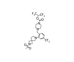 CS(=O)(=O)N1CC2(CCN(c3cc(C(F)(F)F)ccc3CN3CCN(C(=O)OC(C(F)(F)F)C(F)(F)F)CC3)C2)C1